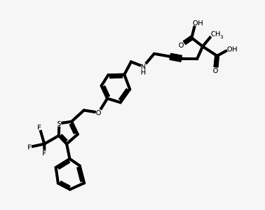 CC(CC#CCNCc1ccc(OCc2cc(-c3ccccc3)c(C(F)(F)F)s2)cc1)(C(=O)O)C(=O)O